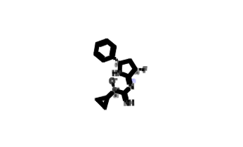 N=C(/N=C1\N[C@H](c2ccccc2)C[C@@H]1F)[S@@+]([O-])C1CC1